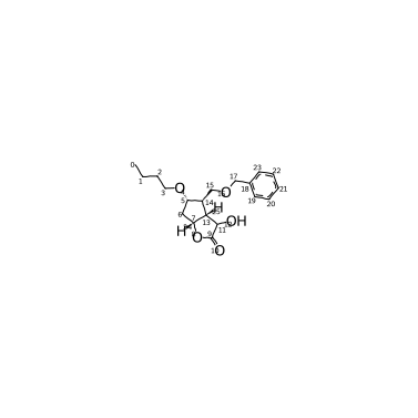 CCCCO[C@H]1C[C@H]2OC(=O)C(O)[C@H]2[C@@H]1COCc1ccccc1